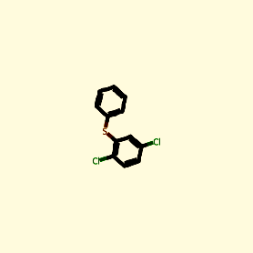 Clc1ccc(Cl)c(Sc2ccccc2)c1